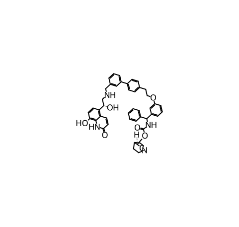 O=C(NC(c1ccccc1)c1cccc(OCCc2ccc(-c3cccc(CNC[C@H](O)c4ccc(O)c5[nH]c(=O)ccc45)c3)cc2)c1)O[C@H]1CN2CCC1CC2